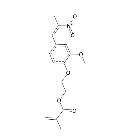 C=C(C)C(=O)OCCOc1ccc(C=C(C)[N+](=O)[O-])cc1OC